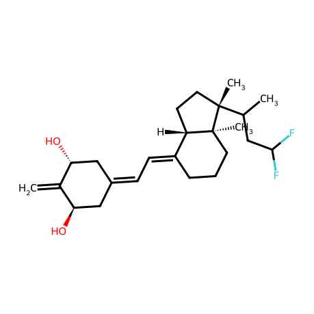 C=C1[C@H](O)CC(=C/C=C2\CCC[C@@]3(C)[C@H]2CC[C@]3(C)C(C)CC(F)F)C[C@H]1O